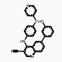 N#Cc1cnc2ccc(-c3cccc(O)c3)cc2c1Nc1ccc(Oc2ccncc2)cc1